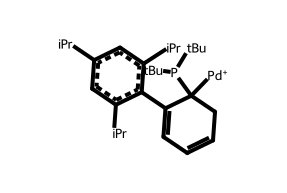 CC(C)c1cc(C(C)C)c(C2=CC=CC[C]2([Pd+])P(C(C)(C)C)C(C)(C)C)c(C(C)C)c1